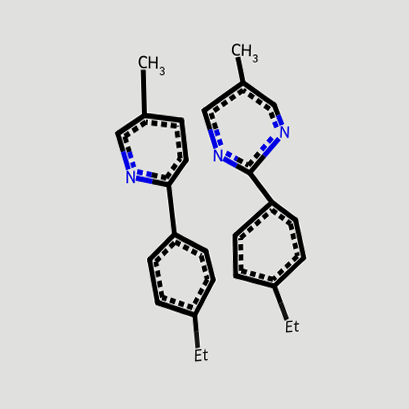 CCc1ccc(-c2ccc(C)cn2)cc1.CCc1ccc(-c2ncc(C)cn2)cc1